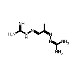 CC(/C=N/NC(=N)N)=N/N=C(N)N